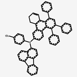 CC(C)(C)c1ccc(N(c2ccc3c(c2)c2c(c4c(-c5ccccc5)cc(-c5ccccc5)c(-c5ccccc5)c43)C=CCC2)c2ccc3c4c(cccc24)-c2ccccc2-3)cc1